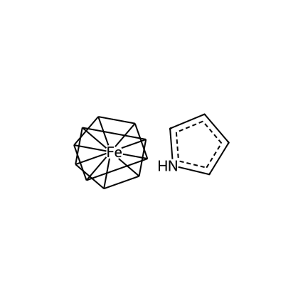 [CH]12[CH]3[CH]4[CH]5[CH]1[Fe]23451678[CH]2[CH]1[CH]6[CH]7[CH]28.c1cc[nH]c1